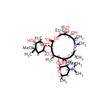 CC[C@H]1OC(=O)[C@H](C)[C@@H](O[C@H]2C[C@@](C)(OC)[C@@H](O)[C@H](C)O2)[C@H](C)[C@@H](O[C@@H]2O[C@H](C)C[C@H](N(C)C)[C@H]2OC)[C@@](C)(O)C[C@@H](C)CN(C)[C@H](C)[C@@H](O)[C@]1(C)O